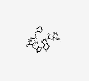 CC(N=C(N)N)n1cnc2c(-n3cnc(C[C@H](NC(=O)OCc4ccccc4)C(=O)O)c3)ncnc21